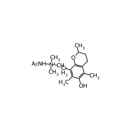 CC(=O)N[N+](C)(C)C.Cc1c(C)c2c(c(C)c1O)CCC(C)O2